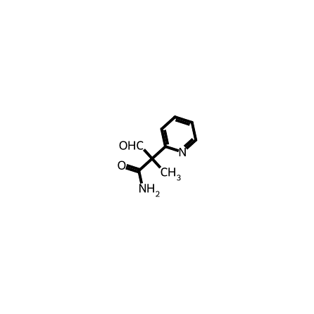 CC(C=O)(C(N)=O)c1ccccn1